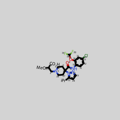 COC(CN1CCC(C(=O)Nc2ccc(Cl)cc2OC(F)F)(n2nccc2C(C)C)CC1)C(=O)O